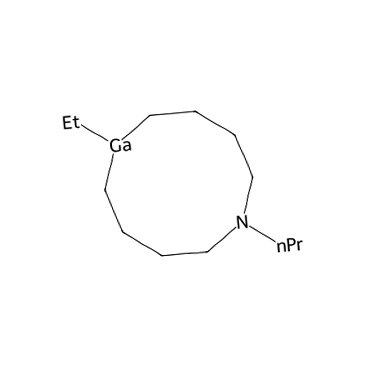 CCCN1CCC[CH2][Ga]([CH2]C)[CH2]CCC1